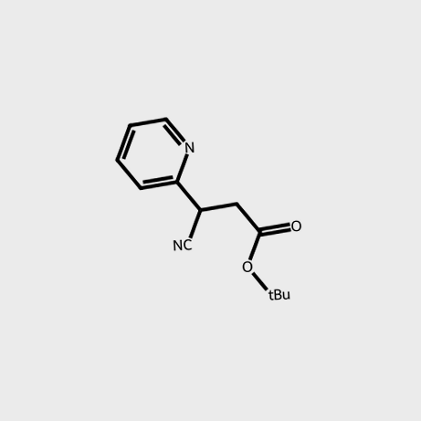 CC(C)(C)OC(=O)CC(C#N)c1ccccn1